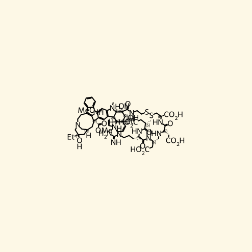 CC[C@]1(O)C[C@H]2CN(CCc3c([nH]c4ccccc34)[C@@](C(=O)OC)(c3cc4c(cc3OC)N(C)[C@H]3[C@@](O)(C(=O)NCCSSC[C@H](NC(=O)[C@H](CC(=O)O)NC[C@H](CC(=O)O)NC(=O)[C@H](CCCNC(=N)N)NC(=O)[C@@H](C)CC(=O)O)C(=O)O)[C@H](O)[C@]5(CC)C=CCN6CC[C@]43[C@@H]65)C2)C1